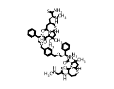 CNCC(=S)N[C@H]1CCS[C@H]2CC(C)(C)[C@@H](C(=O)N[C@H](COCc3ccc(COC[C@@H](NC(=O)C4N5C(=O)CC(C[C@H](NC)C(N)=S)CS[C@H]5CC4(C)C)c4ccccc4)cc3)c3ccccc3)N2C1=O